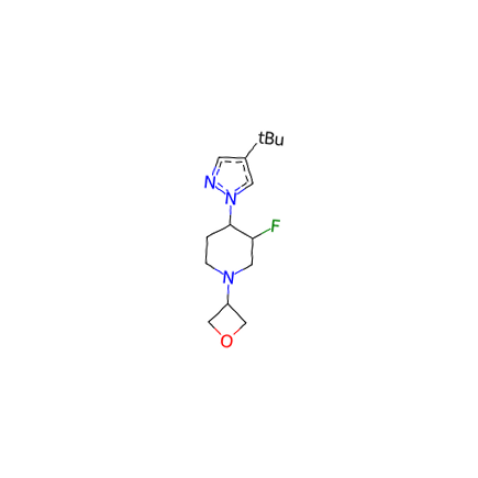 CC(C)(C)c1cnn(C2CCN(C3COC3)CC2F)c1